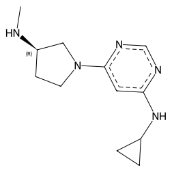 CN[C@@H]1CCN(c2cc(NC3CC3)ncn2)C1